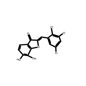 O=C1/C(=C/c2cc(Cl)cc(Cl)c2Cl)Oc2c1ccc(O)c2O